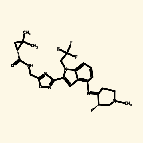 CN1CC/C(=N\c2cccc3c2cc(-c2noc(CNC(=O)[C@@H]4CC4(C)C)n2)n3CC(F)(F)F)[C@@H](F)C1